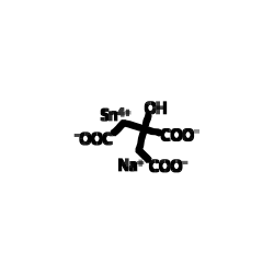 O=C([O-])CC(O)(CC(=O)[O-])C(=O)[O-].[Na+].[Sn+4]